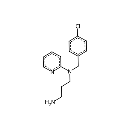 NCCCN(Cc1ccc(Cl)cc1)c1ccccn1